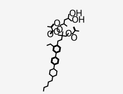 C=C(C)C(=O)OCC(CCc1ccc(-c2ccc(C3CCC(CCCCC)CC3)cc2)cc1CC)(COC(=O)C(=C)C)COC(=O)C(C)CC(CO)CO